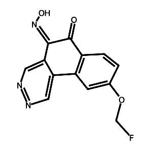 O=C1C(=NO)c2cnncc2-c2cc(OCF)ccc21